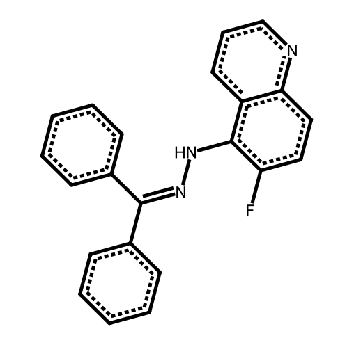 Fc1ccc2ncccc2c1NN=C(c1ccccc1)c1ccccc1